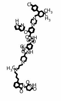 CN(CCCCc1cccc2c1CN(C1CCC(=O)NC1=O)C2=O)CCCN1CCC(CNc2ccc(S(=O)(=O)NC(=O)c3ccc(N4CCN(CC5=C(c6ccc(Cl)cc6)CC(C)(C)CC5)CC4)cc3Oc3cnc4[nH]ccc4c3)cc2[N+](=O)[O-])CC1